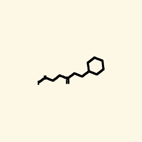 ISCCNCCC1CCCCC1